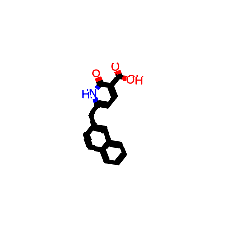 O=C(O)c1ccc(Cc2ccc3ccccc3c2)[nH]c1=O